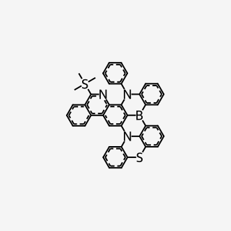 CS(C)(C)c1nc2c3c4c(cc2c2ccccc12)N1c2ccccc2Sc2cccc(c21)B4c1ccccc1N3c1ccccc1